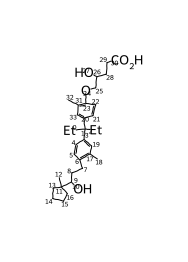 CCC(CC)(c1ccc(CCC(O)C2(C)CCCC2)c(C)c1)c1ccc(OCC(O)CCC(=O)O)c(C)c1